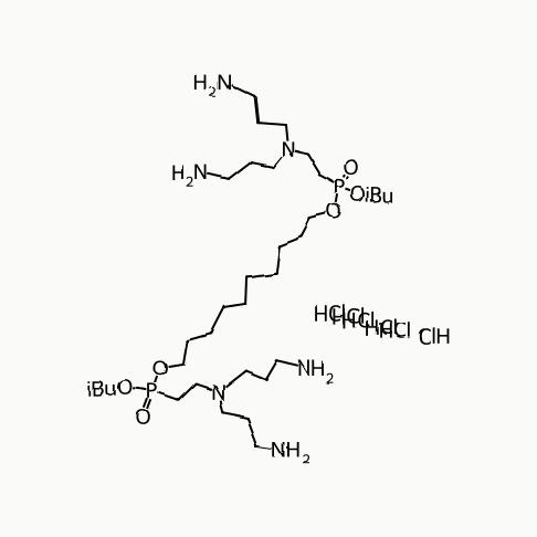 CC(C)COP(=O)(CCN(CCCN)CCCN)OCCCCCCCCCCOP(=O)(CCN(CCCN)CCCN)OCC(C)C.Cl.Cl.Cl.Cl.Cl.Cl